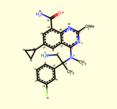 COc1nc(N(C)C(C)(CN)c2cccc(F)c2)c2cc(C3CC3)cc(C(N)=O)c2n1